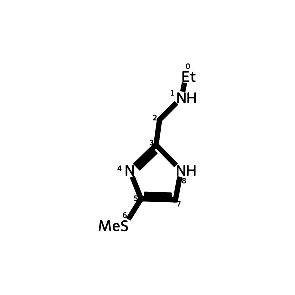 CCNCc1nc(SC)c[nH]1